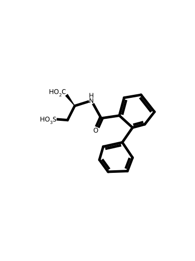 O=C(N[C@@H](CS(=O)(=O)O)C(=O)O)c1ccccc1-c1ccccc1